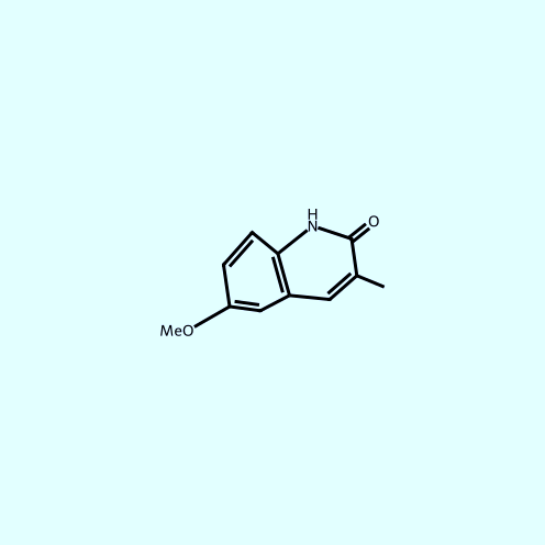 COc1ccc2[nH]c(=O)c(C)cc2c1